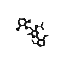 CCc1cccc(CC)c1-c1cc(OC(C)C)c(COc2c(Cl)cccc2Cl)c(C)n1